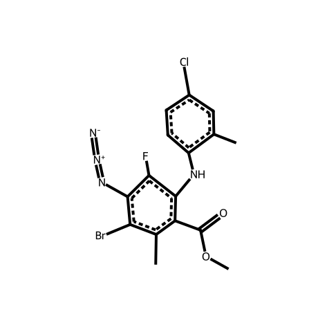 COC(=O)c1c(C)c(Br)c(N=[N+]=[N-])c(F)c1Nc1ccc(Cl)cc1C